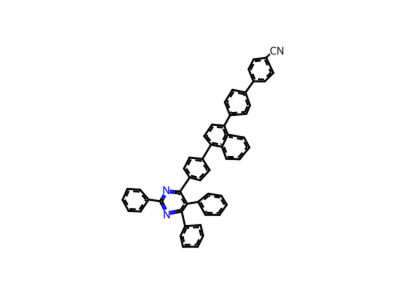 N#Cc1ccc(-c2ccc(-c3ccc(-c4ccc(-c5nc(-c6ccccc6)nc(-c6ccccc6)c5-c5ccccc5)cc4)c4ccccc34)cc2)cc1